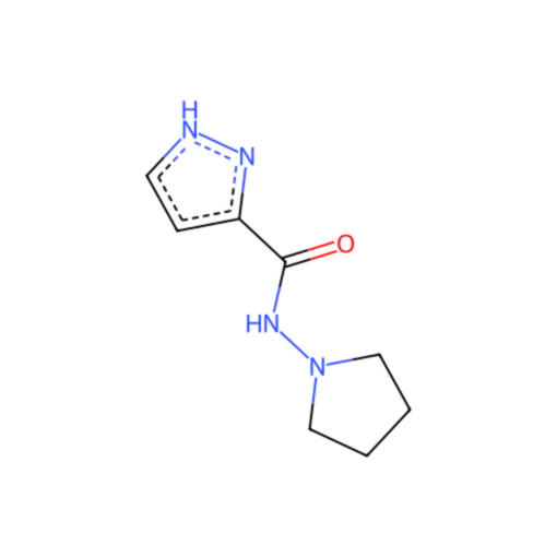 O=C(NN1CCCC1)c1cc[nH]n1